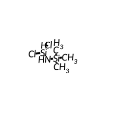 C[Si](C)(C)N[SiH](Cl)Cl